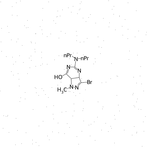 CCCN(CCC)C1=NC2C(Br)=NN(C)C2C(O)=N1